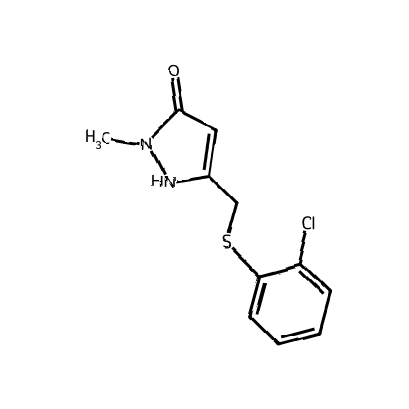 Cn1[nH]c(CSc2ccccc2Cl)cc1=O